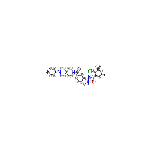 O=C(NC1CCc2ccc(C(=O)N3CCC4(CC3)CCN(c3ccncc3)CC4)cc21)c1cccc(C(F)(F)F)c1Cl